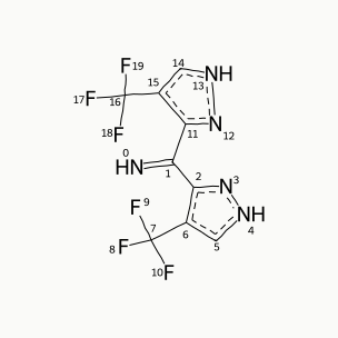 N=C(c1n[nH]cc1C(F)(F)F)c1n[nH]cc1C(F)(F)F